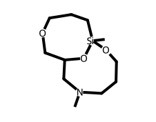 CN1CCCO[Si]2(C)CCCOCC(C1)O2